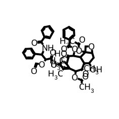 CC(=O)OC1C(=O)C2(C)C(O)CC3OCC3(OC(C)=O)C2C(OC(=O)c2ccccc2)C2(O)CC(OC(=O)C(OC=O)C(NC(=O)c3ccccc3)c3ccccc3)C(C)=C1C2(C)C